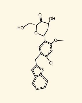 COc1cc(Cl)c(Cc2cc3ccccc3s2)cc1[C@H]1CC(O)C(=O)[C@@H](CO)O1